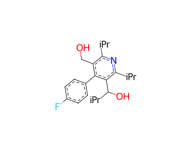 CC(C)c1nc(C(C)C)c(C(O)C(C)C)c(-c2ccc(F)cc2)c1CO